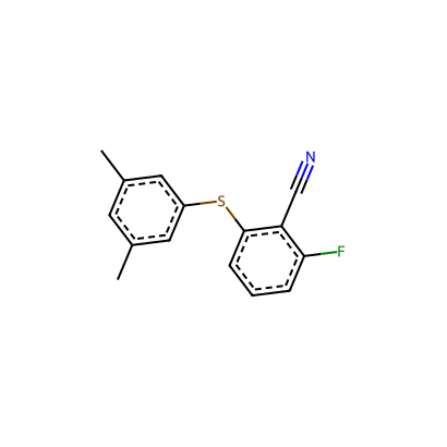 Cc1cc(C)cc(Sc2cccc(F)c2C#N)c1